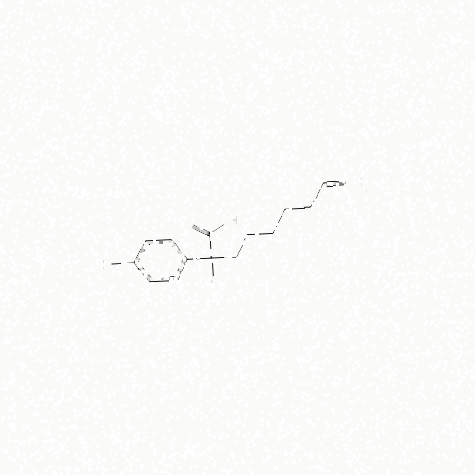 C=CCCCCCC(N)(C(=O)O)c1ccc(F)cc1